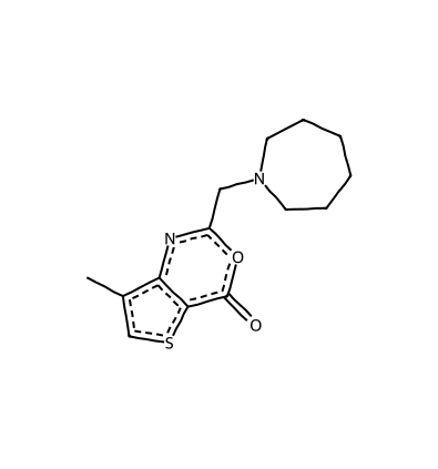 Cc1csc2c(=O)oc(CN3CCCCCC3)nc12